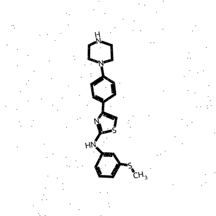 CSc1cccc(Nc2nc(-c3ccc(N4CCNCC4)cc3)cs2)c1